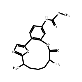 COC(=O)Nc1ccc2c(c1)NC(=O)C(C)CCCC(C)c1ncc-2o1